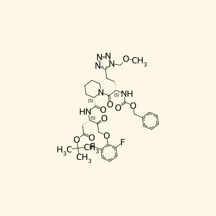 COCn1nnnc1CC[C@H](NC(=O)OCc1ccccc1)C(=O)N1CCCC[C@H]1C(=O)N[C@@H](CC(=O)OC(C)(C)C)C(=O)COc1c(F)cccc1F